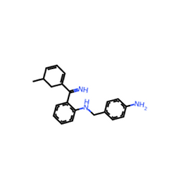 CC1C=CC=C(C(=N)c2ccccc2NCc2ccc(N)cc2)C1